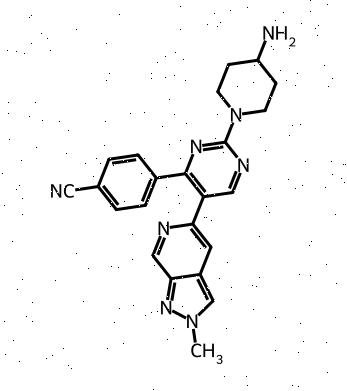 Cn1cc2cc(-c3cnc(N4CCC(N)CC4)nc3-c3ccc(C#N)cc3)ncc2n1